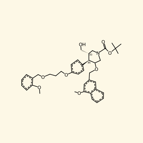 COc1ccccc1COCCCOc1ccc([C@@H]2C(OCc3cc(OC)c4ccccc4c3)CN(C(=O)OC(C)(C)C)C[C@H]2CO)cc1